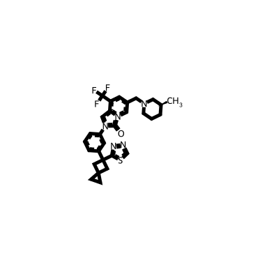 C[C@H]1CCCN(Cc2cc(C(F)(F)F)c3cn(-c4cccc(C5(c6nncs6)CC6(CC6)C5)c4)c(=O)n3c2)C1